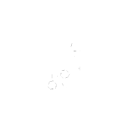 C=CC(=O)OC(C)C(O)Cc1ccc(C(=O)c2ccccc2)c(O)c1